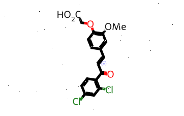 COc1cc(/C=C/C(=O)c2ccc(Cl)cc2Cl)ccc1OCC(=O)O